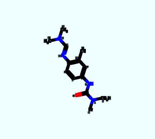 CCN(C(=O)O)C(=O)Nc1ccc(N=CN(C)C)c(C#N)c1